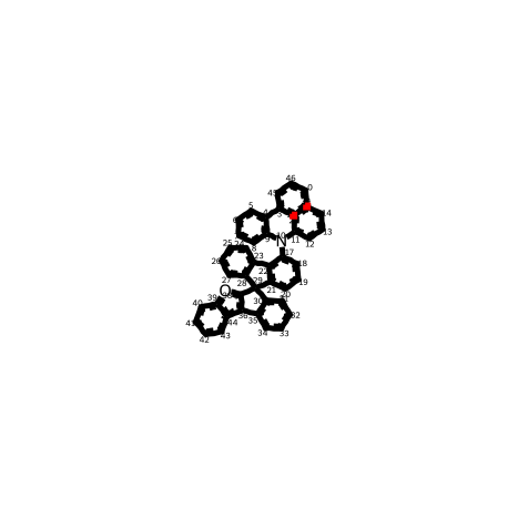 c1ccc(-c2ccccc2N(c2ccccc2)c2cccc3c2-c2ccccc2C32c3ccccc3-c3c2oc2ccccc32)cc1